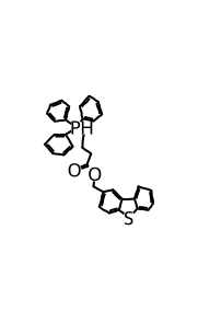 O=C(CCC[PH](c1ccccc1)(c1ccccc1)c1ccccc1)OCc1ccc2sc3ccccc3c2c1